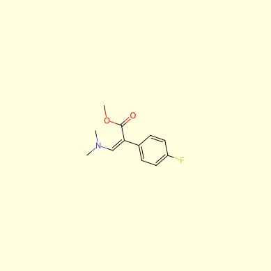 COC(=O)/C(=C\N(C)C)c1ccc(F)cc1